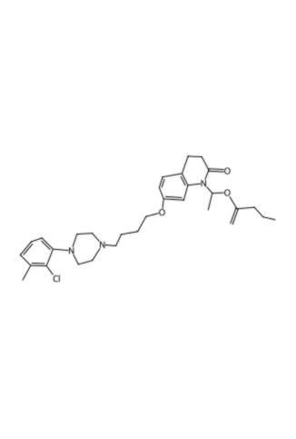 C=C(CCC)OC(C)N1C(=O)CCc2ccc(OCCCCN3CCN(c4cccc(C)c4Cl)CC3)cc21